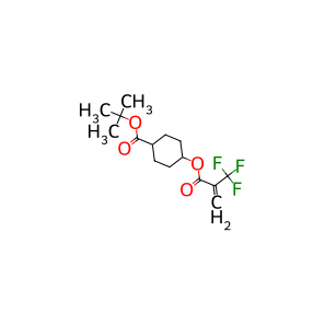 C=C(C(=O)OC1CCC(C(=O)OC(C)(C)C)CC1)C(F)(F)F